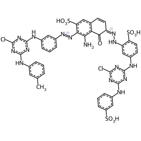 Cc1cccc(Nc2nc(Cl)nc(Nc3cccc(/N=N/c4c(S(=O)(=O)O)cc5c(c4N)C(=O)/C(=N\Nc4cc(Nc6nc(Cl)nc(Nc7cccc(S(=O)(=O)O)c7)n6)ccc4S(=O)(=O)O)C=C5)c3)n2)c1